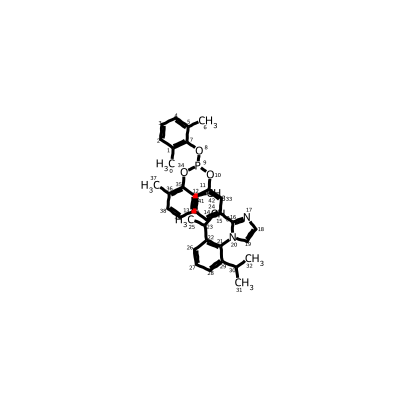 Cc1cccc(C)c1OP(Oc1cccc(-c2nccn2-c2c(C(C)C)cccc2C(C)C)c1)Oc1c(C)cccc1C